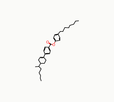 CCCCCCCCc1ccc(OC(=O)c2ccc(C3=CCC(C(C)CCCCC)CC3)cc2)cc1